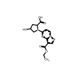 CCOC(=O)c1cnn2ccc(N3CC(O)CC3C(=O)O)nc12